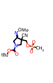 CO/N=C1/CN(C(=O)OC(C)(C)C)CC1(C#N)COS(C)(=O)=O